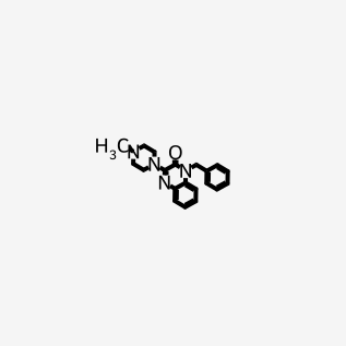 CN1CCN(c2nc3ccccc3n(Cc3ccccc3)c2=O)CC1